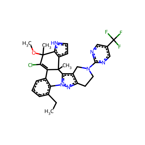 CCc1cccc2c1-n1nc3c(c1C1(C)C2=C(Cl)C(C)(OC)c2[nH]ccc21)CN(c1ncc(C(F)(F)F)cn1)CC3